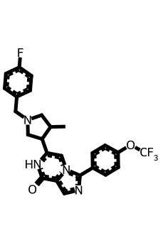 CC1CN(Cc2ccc(F)cc2)CC1c1cn2c(-c3ccc(OC(F)(F)F)cc3)ncc2c(=O)[nH]1